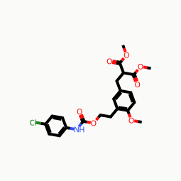 COC(=O)C(Cc1ccc(OC)c(CCOC(=O)Nc2ccc(Cl)cc2)c1)C(=O)OC